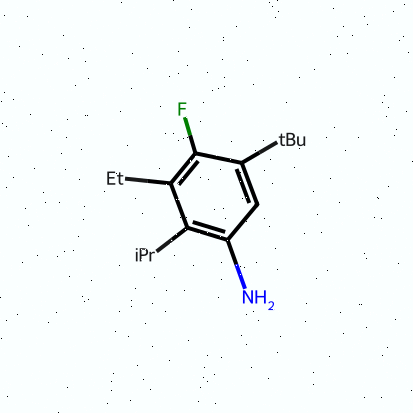 CCc1c(F)c(C(C)(C)C)cc(N)c1C(C)C